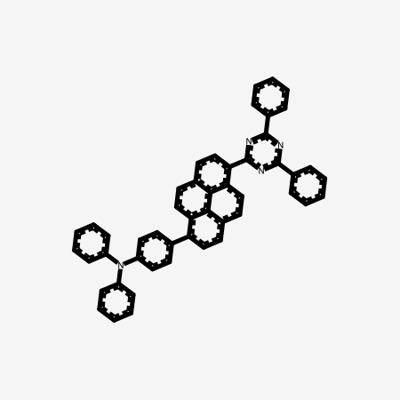 c1ccc(-c2nc(-c3ccccc3)nc(-c3ccc4ccc5c(-c6ccc(N(c7ccccc7)c7ccccc7)cc6)ccc6ccc3c4c65)n2)cc1